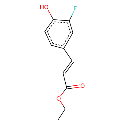 CCOC(=O)C=Cc1ccc(O)c(F)c1